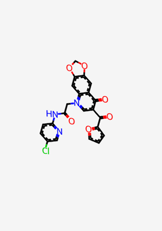 O=C(Cn1cc(C(=O)c2ccco2)c(=O)c2cc3c(cc21)OCO3)Nc1ccc(Cl)cn1